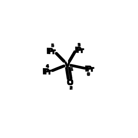 C[CH](C)[V](=[O])([CH](C)C)([CH](C)C)[CH](C)C